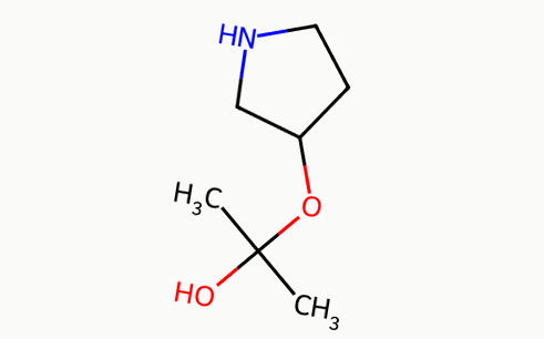 CC(C)(O)OC1CCNC1